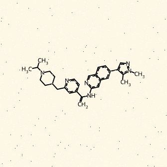 C=C(Nc1cc2cc(-c3cnn(C)c3C)ccc2cn1)c1ccnc(CC2CCN(C(C)C)CC2)c1